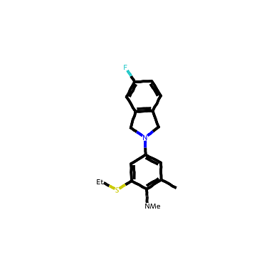 CCSc1cc(N2Cc3ccc(F)cc3C2)cc(C)c1NC